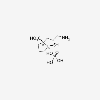 NCCC[C@@]1(C(=O)O)CCC[C@@H]1S.O=P(O)(O)O